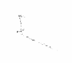 CCCCCCCCCCCCCCCCCCOC[C@H](CO)OP(=O)(O)OCCCCCC[N+](C)(C)C